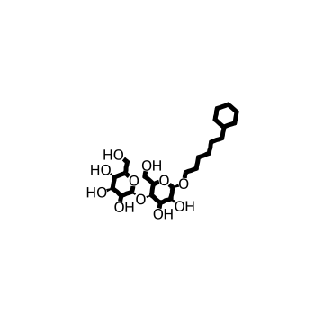 OCC1O[C@@H](OCCCCCCC2CCCCC2)[C@@H](O)C(O)[C@@H]1O[C@H]1OC(CO)[C@@H](O)[C@H](O)C1O